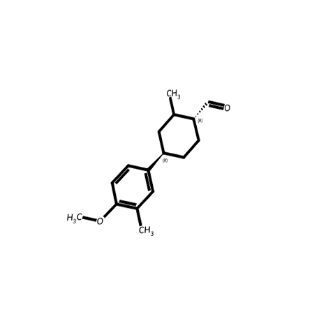 COc1ccc([C@@H]2CC[C@@H](C=O)C(C)C2)cc1C